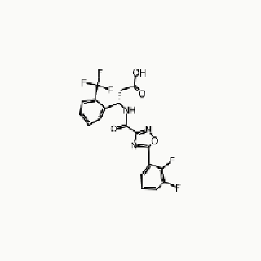 O=C(O)C[C@H](NC(=O)c1noc(-c2cccc(F)c2F)n1)c1ccccc1C(F)(F)F